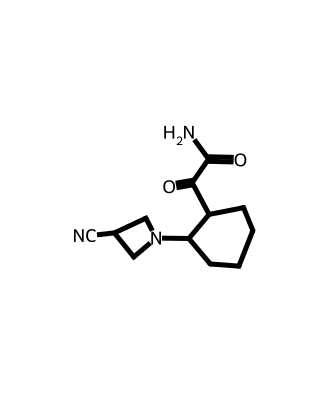 N#CC1CN(C2CCCCC2C(=O)C(N)=O)C1